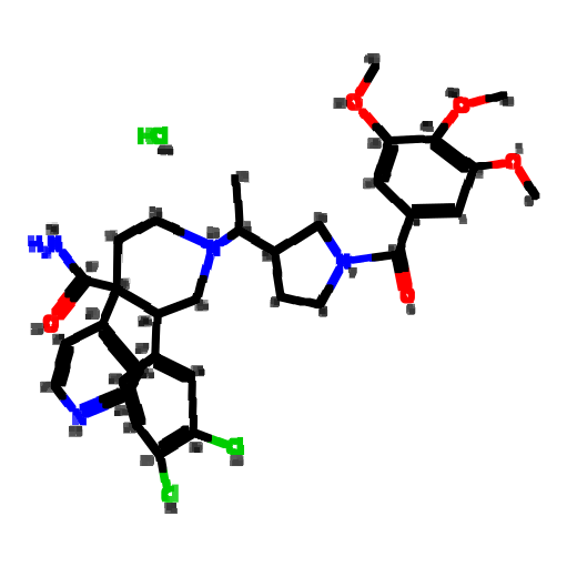 COc1cc(C(=O)N2CCC(C(C)N3CCC(C(N)=O)(c4ccncc4)C(c4ccc(Cl)c(Cl)c4)C3)C2)cc(OC)c1OC.Cl